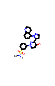 CCN(CC)S(=O)(=O)c1cccc(-n2ccc(=O)c(C3CC=NN3c3cccc4ncccc34)n2)c1